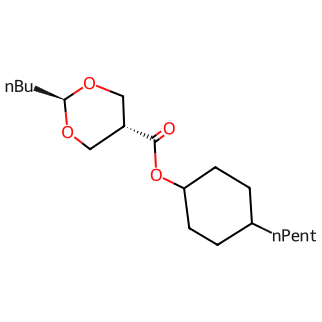 CCCCCC1CCC(OC(=O)[C@H]2CO[C@H](CCCC)OC2)CC1